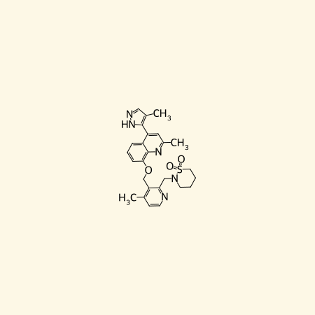 Cc1cc(-c2[nH]ncc2C)c2cccc(OCc3c(C)ccnc3CN3CCCCS3(=O)=O)c2n1